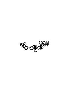 CS(=O)(=O)[C@H](CCn1ccc2cc(-c3ccc(CN4CCCC4=O)cc3)ccc2c1=O)C(=O)NO